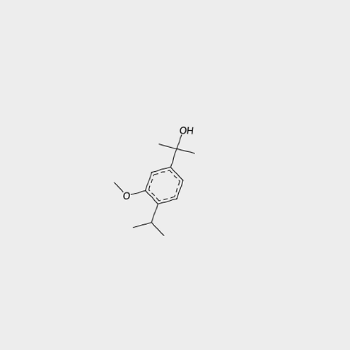 COc1cc(C(C)(C)O)ccc1C(C)C